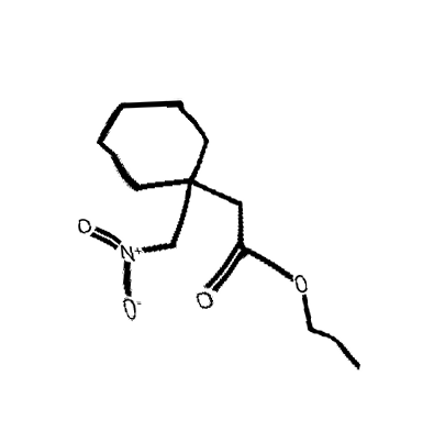 CCOC(=O)CC1(C[N+](=O)[O-])CCCCC1